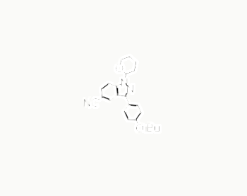 CC(C)COc1ccc(-c2nn(C3CCCCO3)c3ccc(C#N)cc23)cc1